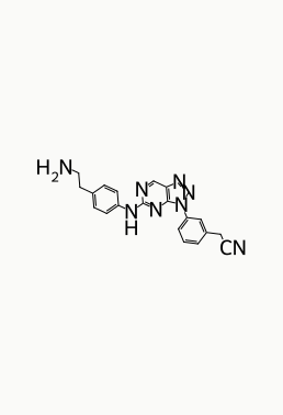 N#CCc1cccc(-n2nnc3cnc(Nc4ccc(CCN)cc4)nc32)c1